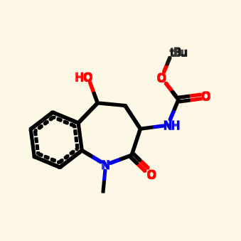 CN1C(=O)C(NC(=O)OC(C)(C)C)CC(O)c2ccccc21